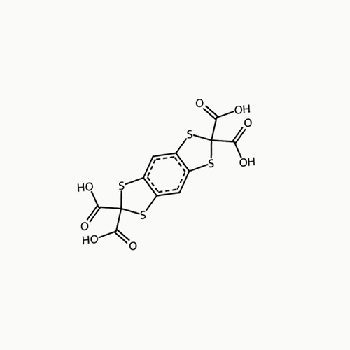 O=C(O)C1(C(=O)O)Sc2cc3c(cc2S1)SC(C(=O)O)(C(=O)O)S3